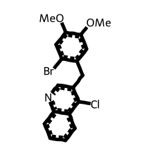 COc1cc(Br)c(Cc2cnc3ccccc3c2Cl)cc1OC